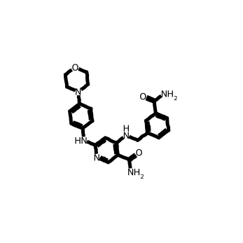 NC(=O)c1cccc(CNc2cc(Nc3ccc(N4CCOCC4)cc3)ncc2C(N)=O)c1